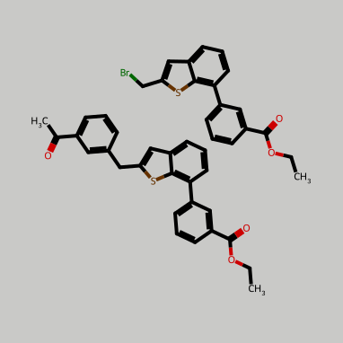 CCOC(=O)c1cccc(-c2cccc3cc(CBr)sc23)c1.CCOC(=O)c1cccc(-c2cccc3cc(Cc4cccc(C(C)=O)c4)sc23)c1